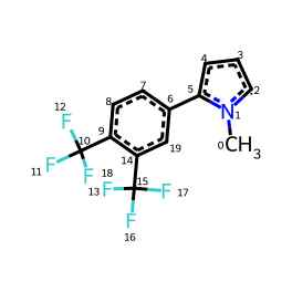 Cn1[c]ccc1-c1ccc(C(F)(F)F)c(C(F)(F)F)c1